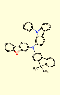 CC1(C)c2ccccc2-c2cc(N(c3ccc4c(c3)oc3ccccc34)c3ccc4c5ccccc5n(-c5ccccc5)c4c3)ccc21